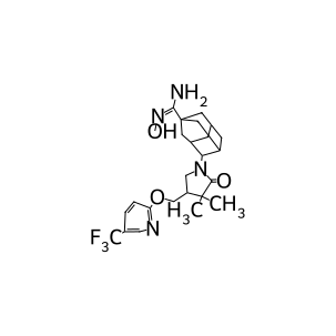 CC1(C)C(=O)N(C2C3CC4CC2CC(/C(N)=N\O)(C4)C3)CC1COc1ccc(C(F)(F)F)cn1